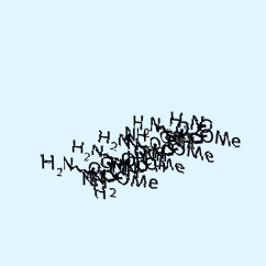 COc1ccc(NC(=O)[C@H](CCCCN)NC(=O)c2cc(NC(=O)[C@H](CCCNC(=N)N)NC(=O)c3cc(NC(=O)[C@H](CCCCN)NC(=O)c4cc(NC(=O)[C@@H](N)CCCCN)ccc4OC)ccc3OC)ccc2OC)cc1C(N)=O